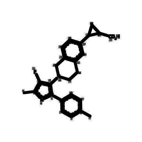 Cc1ccc(-n2nc(C)c(F)c2N2CCc3cc(C4CC4C(=O)O)ccc3C2)cc1